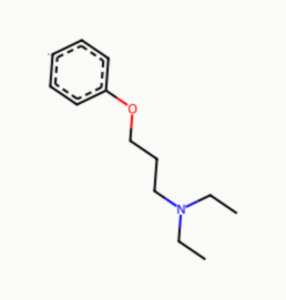 CCN(CC)CCCOc1cc[c]cc1